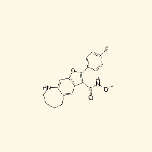 CONC(=O)c1c(-c2ccc(F)cc2)oc2cc3c(cc12)CCCCN3